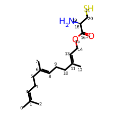 CC(C)=CCCC(C)=CCCC(C)=CCOC(=O)[C@@H](N)CS